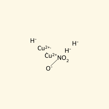 O=[N+]([O-])[O-].[Cu+2].[Cu+2].[H-].[H-].[H-]